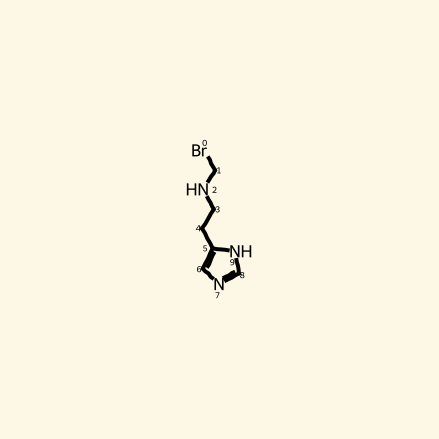 BrCNCCc1cnc[nH]1